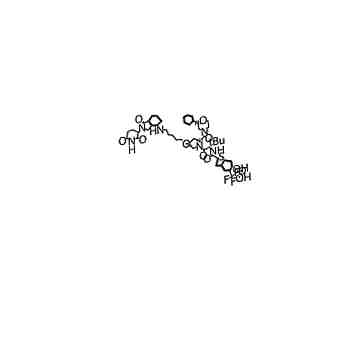 CC(C)(C)C(NC(=O)c1cc2cc(C(F)(F)P(=O)(O)O)ccc2s1)C(=O)N1C[C@@H](OCCCCCNc2cccc3c2CN(C2CCC(=O)NC2=O)C3=O)C[C@H]1C(=O)N1CCO[C@H](c2ccccc2)C1